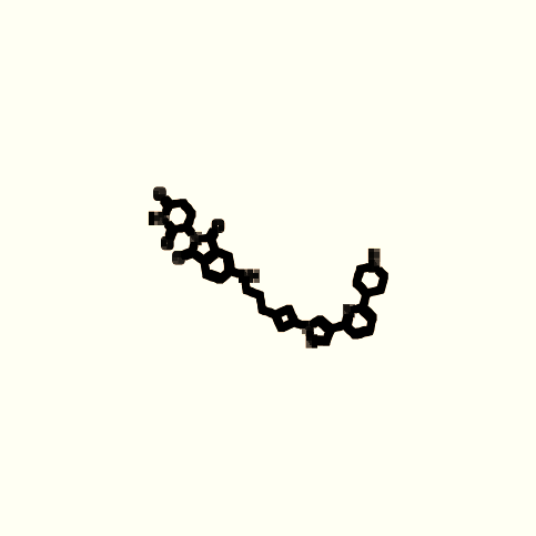 O=C1CCC(N2C(=O)c3ccc(NCCCC4CC(n5cc(-c6cccc(C7CCNCC7)n6)cn5)C4)cc3C2=O)C(=O)N1